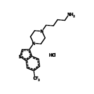 Cl.NCCCCN1CCN(c2csc3cc(C(F)(F)F)ccc23)CC1